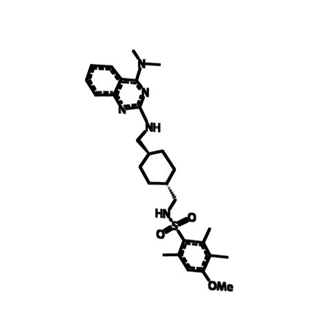 COc1cc(C)c(S(=O)(=O)NC[C@H]2CC[C@H](CNc3nc(N(C)C)c4ccccc4n3)CC2)c(C)c1C